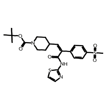 CC(C)(C)OC(=O)N1CCC(/C=C(\C(=O)Nc2nccs2)c2ccc(S(C)(=O)=O)cc2)CC1